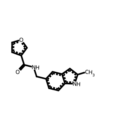 Cc1cc2cc(CNC(=O)c3ccoc3)ccc2[nH]1